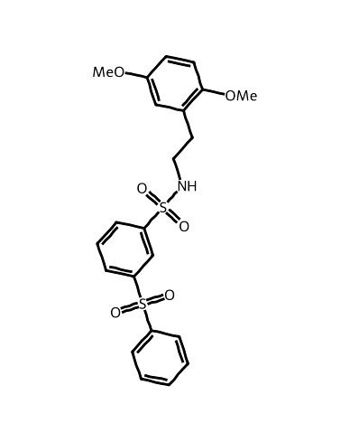 COc1ccc(OC)c(CCNS(=O)(=O)c2cccc(S(=O)(=O)c3ccccc3)c2)c1